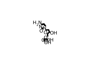 Nc1ccn([C@H]2C[C@@H](O)C(COP(=O)(O)O)O2)c(=O)n1